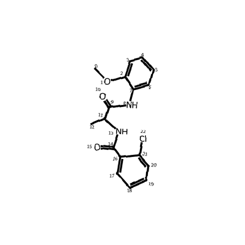 COc1ccccc1NC(=O)C(C)NC(=O)c1ccccc1Cl